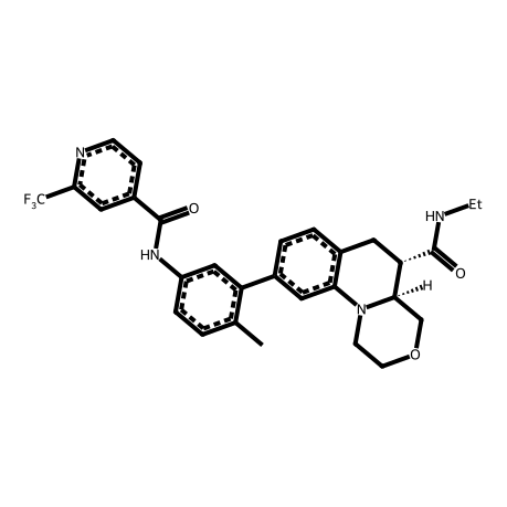 CCNC(=O)[C@H]1Cc2ccc(-c3cc(NC(=O)c4ccnc(C(F)(F)F)c4)ccc3C)cc2N2CCOC[C@H]12